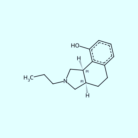 CCCN1C[C@@H]2CCc3cccc(O)c3[C@@H]2C1